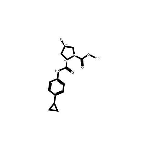 CC(C)(C)OC(=O)N1C[C@H](F)C[C@@H]1C(=O)Nc1ccc(C2CC2)cc1